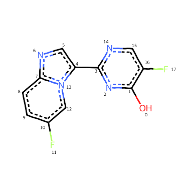 Oc1nc(-c2cnc3ccc(F)cn23)ncc1F